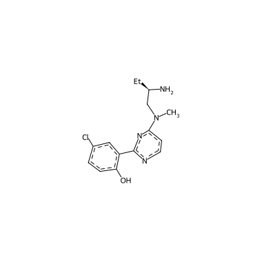 CC[C@@H](N)CN(C)c1ccnc(-c2cc(Cl)ccc2O)n1